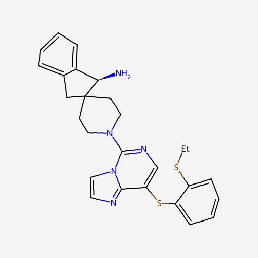 CCSc1ccccc1Sc1cnc(N2CCC3(CC2)Cc2ccccc2[C@H]3N)n2ccnc12